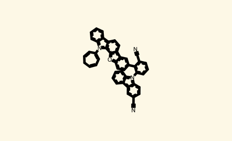 N#Cc1ccc2c(c1)c1ccccc1n2-c1cccc(C#N)c1-c1ccc2oc3c(ccc4c5ccccc5n(C5=CC=CCC=C5)c43)c2c1